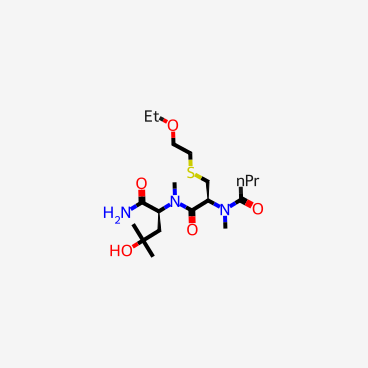 CCCC(=O)N(C)[C@H](CSCCOCC)C(=O)N(C)[C@@H](CC(C)(C)O)C(N)=O